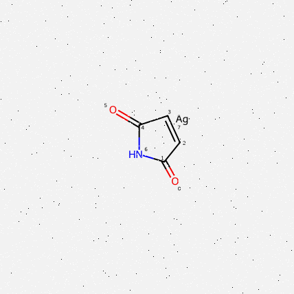 O=C1C=CC(=O)N1.[Ag]